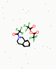 O=C(N1CCc2ccccc2C1)C(F)(F)F.O=C(OC(=O)C(F)(F)F)C(F)(F)F